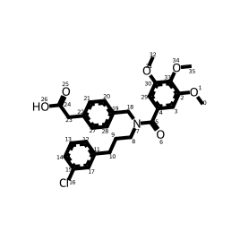 COc1cc(C(=O)N(CCCc2cccc(Cl)c2)Cc2ccc(CC(=O)O)cc2)cc(OC)c1OC